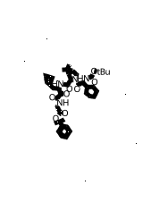 CC(C)(C)OC(=O)N[C@H](C(=O)N1CC2C(C1C(=O)NC(CC1CCC1)C(=O)C(=O)NCC(=O)OC(C)(C)c1ccccc1)C2(C)C)C1CCCCC1